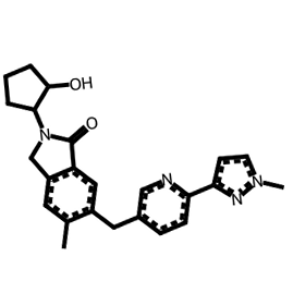 Cc1cc2c(cc1Cc1ccc(-c3ccn(C)n3)nc1)C(=O)N(C1CCCC1O)C2